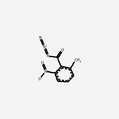 Cc1cccc([N+](=O)[O-])c1C(=O)N=[N+]=[N-]